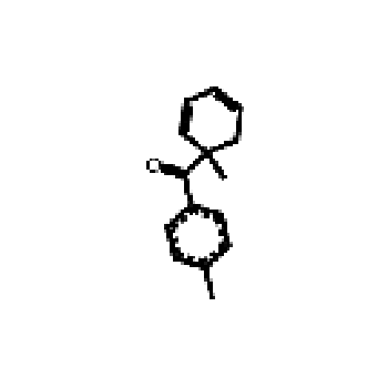 Cc1ccc(C(=O)C2(C)C=CC=CC2)cc1